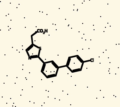 O=C(O)Cc1cnc(-c2cccc(-c3ccc(Cl)cc3)c2)s1